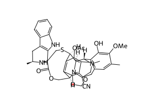 COc1c(C)cc2c(c1O)[C@H]1[C@@H]3[C@@H]4SC[C@]5(N[C@@H](C)Cc6c5[nH]c5ccccc65)C(=O)OC[C@@H](c5c6c(c(C)c(OC(C)=O)c54)OCO6)N3C(C#N)(C2)CN1C